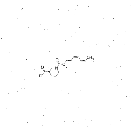 C/C=C\C=C/CCOC(=O)N1CCCC(C(=O)Cl)C1